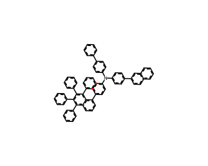 c1ccc(-c2ccc(N(c3ccc(-c4ccc5ccccc5c4)cc3)c3ccc(-c4cccc5c(-c6ccccc6)c(-c6ccccc6)c(-c6ccccc6)c(-c6ccccc6)c45)cc3)cc2)cc1